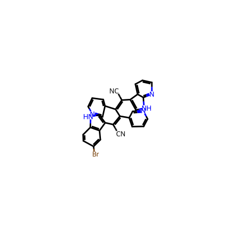 N#C/C(=C(/C(=C(/C#N)c1c[nH]c2ncccc12)c1cccnc1)c1cccnc1)c1c[nH]c2ccc(Br)cc12